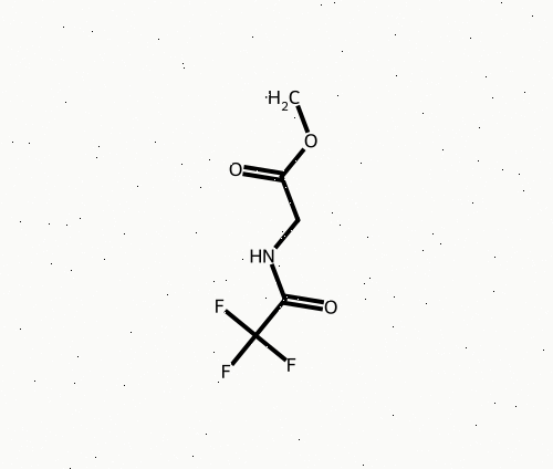 [CH2]OC(=O)CNC(=O)C(F)(F)F